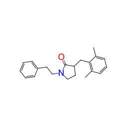 Cc1cccc(C)c1CC1CCN(CCc2ccccc2)C1=O